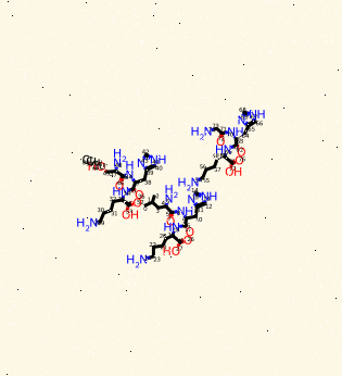 CC(C)CC(N)C(=O)NC(Cc1c[nH]cn1)C(=O)NC(CCCCN)C(=O)O.NCCCCC(NC(=O)C(Cc1c[nH]cn1)NC(=O)C(N)CO)C(=O)O.NCCCC[C@H](NC(=O)[C@@H](Cc1c[nH]cn1)NC(=O)CN)C(=O)O.[Cu].[Cu].[Cu]